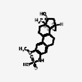 COc1cc2c(cc1NS(=O)(=O)O)CCC1=C2CC[C@]2(C)[C@H](O)C[C@@H]3C[C@@]132